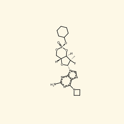 C[C@@]1(F)[C@@H]2O[P@](=O)(OC3CCCCC3)OC[C@H]2O[C@H]1n1cnc2c(N3CCC3)nc(N)nc21